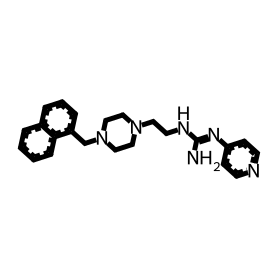 N/C(=N\c1ccncc1)NCCN1CCN(Cc2cccc3ccccc23)CC1